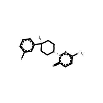 Cc1ccc(=O)n([C@H]2CC[C@](I)(c3cccc(I)c3)CC2)n1